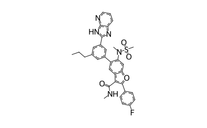 CCCc1cc(-c2nc3cccnc3[nH]2)cc(-c2cc3c(C(=O)NC)c(-c4ccc(F)cc4)oc3cc2N(C)S(C)(=O)=O)c1